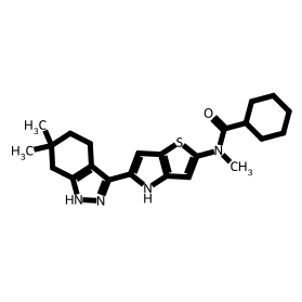 CN(C(=O)C1CCCCC1)c1cc2[nH]c(-c3n[nH]c4c3CCC(C)(C)C4)cc2s1